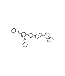 CC(C)(C)OC(=O)N1CCC2(CCN(c3ccc(-c4ccc(OCc5ccccc5)nc4OCc4ccccc4)cc3)C2)C1